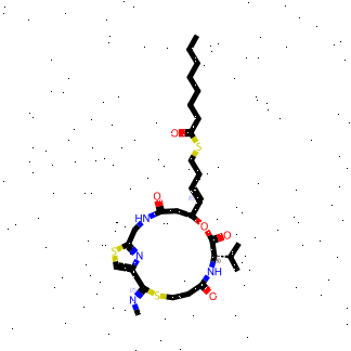 CCCCCCCC(=O)SCC/C=C/C1CC(=O)NCc2nc(cs2)/C(=N/C)SCCC(=O)N[C@@H](C(C)C)C(=O)O1